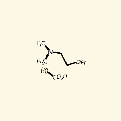 CN(C)CCO.O=C(O)O